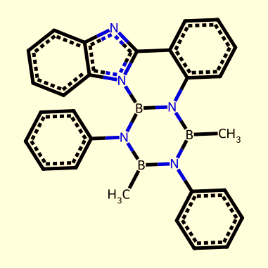 CB1N(c2ccccc2)B(C)N2B(N1c1ccccc1)n1c(nc3ccccc31)-c1ccccc12